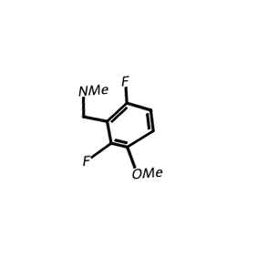 CNCc1c(F)ccc(OC)c1F